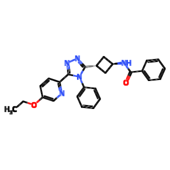 CCOc1ccc(-c2nnc([C@H]3C[C@H](NC(=O)c4ccccc4)C3)n2-c2ccccc2)nc1